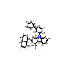 Cc1cccc2cccc(-c3ccc4c5ccccc5n(-c5cccc(-c6ccccc6)c5)c4c3)c12